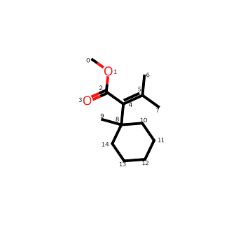 COC(=O)C(=C(C)C)C1(C)CCCCC1